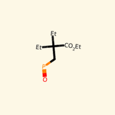 CCOC(=O)C(CC)(CC)CP=O